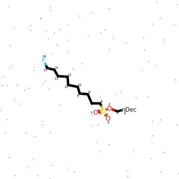 CCCCCCCCCCCOS(=O)(=O)CCCCCCCCCCF